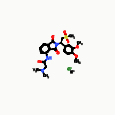 COc1ccc(C(CS(C)(=O)=O)N2C(=O)c3cccc(NC(=O)CN(C)C)c3C2=O)cc1OC.[Cl-].[H+]